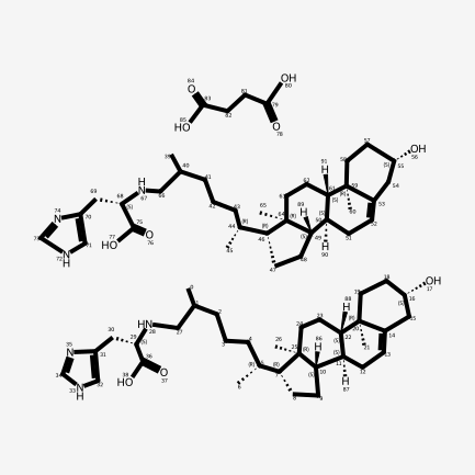 CC(CCC[C@@H](C)[C@H]1CC[C@H]2[C@@H]3CC=C4C[C@@H](O)CC[C@]4(C)[C@H]3CC[C@]12C)CN[C@@H](Cc1c[nH]cn1)C(=O)O.CC(CCC[C@@H](C)[C@H]1CC[C@H]2[C@@H]3CC=C4C[C@@H](O)CC[C@]4(C)[C@H]3CC[C@]12C)CN[C@@H](Cc1c[nH]cn1)C(=O)O.O=C(O)CCC(=O)O